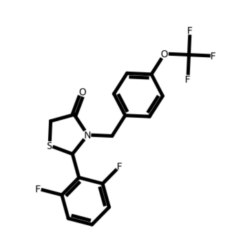 O=C1CSC(c2c(F)cccc2F)N1Cc1ccc(OC(F)(F)F)cc1